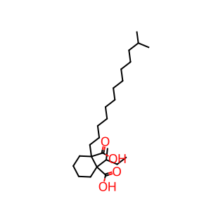 CCC(C)C1(C(=O)O)CCCCC1(CCCCCCCCCCCC(C)C)C(=O)O